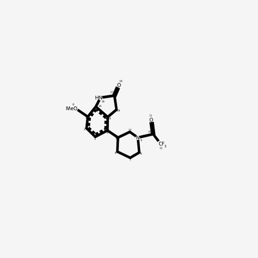 COc1ccc(C2CCCN(C(=O)C(F)(F)F)C2)c2c1NC(=O)C2